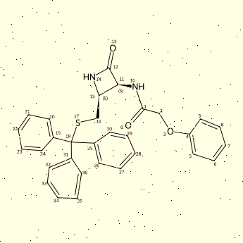 O=C(COc1ccccc1)N[C@@H]1C(=O)N[C@@H]1CSC(c1ccccc1)(c1ccccc1)c1ccccc1